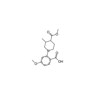 COC(=O)C1CCN(c2cc(OC)ccc2C(=O)O)CC1C